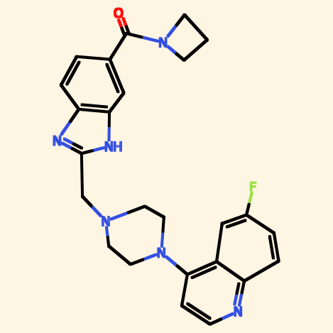 O=C(c1ccc2nc(CN3CCN(c4ccnc5ccc(F)cc45)CC3)[nH]c2c1)N1CCC1